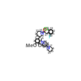 COc1ccc([C@@]2(CCN3CCC(N4CCCCC4)CC3)CCCCN(C(=O)Cc3c(F)cccc3Cl)C2)cc1OC